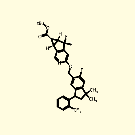 CC(C)(C)OC(=O)[C@@H]1[C@H]2c3cnc(OCc4cc5c(cc4F)C(C)(C)CC5c4ccccc4C(F)(F)F)cc3C(F)(F)[C@@H]12